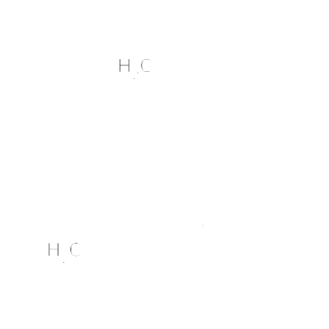 C=CCC1=CC2CCC1(CC=C)C2